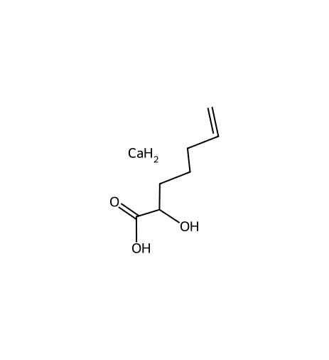 C=CCCCC(O)C(=O)O.[CaH2]